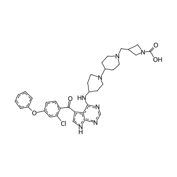 O=C(c1ccc(Oc2ccccc2)cc1Cl)c1c[nH]c2ncnc(NC3CCN(C4CCN(CC5CN(C(=O)O)C5)CC4)CC3)c12